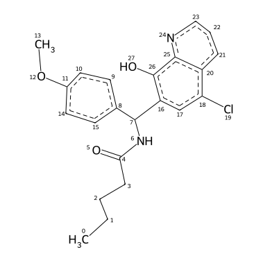 CCCCC(=O)NC(c1ccc(OC)cc1)c1cc(Cl)c2cccnc2c1O